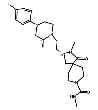 CNC(=O)N1CCC2(CC1)C[C@H](CCN1CCN(c3ccc(F)cc3)C[C@@H]1C)N(C)C2=O